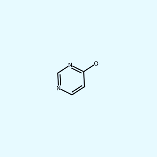 [O]c1ccncn1